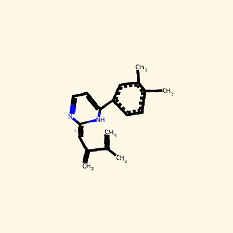 C=C(C)C(=C)/C=C1/N=CC=C(c2ccc(C)c(C)c2)N1